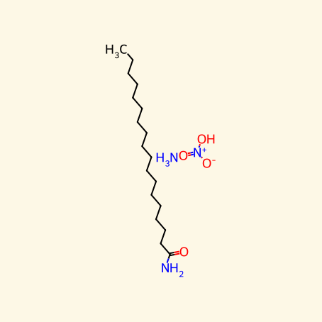 CCCCCCCCCCCCCCCCCC(N)=O.N.O=[N+]([O-])O